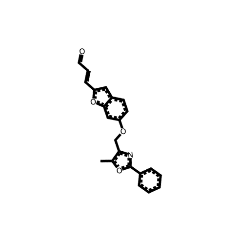 Cc1oc(-c2ccccc2)nc1COc1ccc2cc(C=CC=O)oc2c1